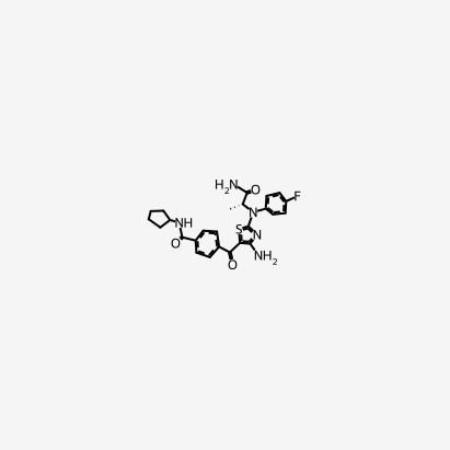 C[C@H](C(N)=O)N(c1ccc(F)cc1)c1nc(N)c(C(=O)c2ccc(C(=O)NC3CCCC3)cc2)s1